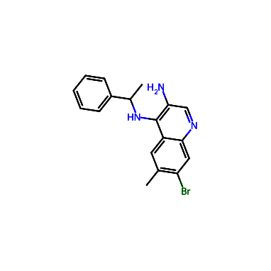 Cc1cc2c(NC(C)c3ccccc3)c(N)cnc2cc1Br